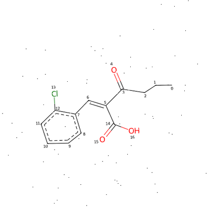 CCCC(=O)C(=Cc1ccccc1Cl)C(=O)O